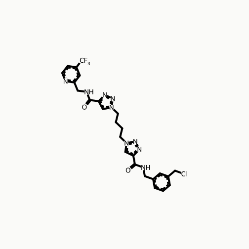 O=C(NCc1cccc(CCl)c1)c1cn(CCCCn2cc(C(=O)NCc3cc(C(F)(F)F)ccn3)nn2)nn1